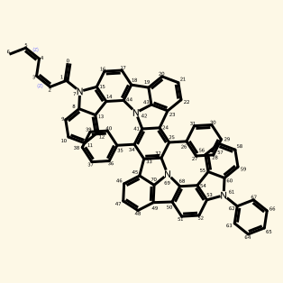 C=C(/C=C\C=C/C)n1c2ccccc2c2c1ccc1c3cccc4c5c(-c6ccccc6)c6c(c(-c7ccccc7)c5n(c34)c12)c1cccc2c3ccc4c(c5ccccc5n4-c4ccccc4)c3n6c21